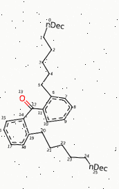 CCCCCCCCCCCCCCCc1ccccc1C(=O)c1ccccc1CCCCCCCCCCCCCCC